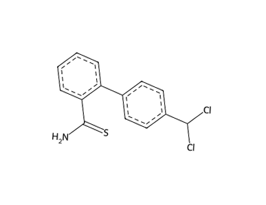 NC(=S)c1ccccc1-c1ccc(C(Cl)Cl)cc1